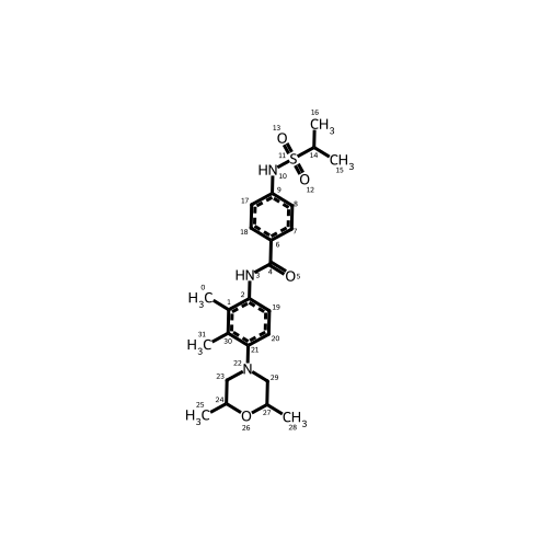 Cc1c(NC(=O)c2ccc(NS(=O)(=O)C(C)C)cc2)ccc(N2CC(C)OC(C)C2)c1C